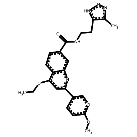 CCOc1cc(-c2ccc(OC)nc2)nc2cc(C(=O)NCCc3[nH]nnc3C)ccc12